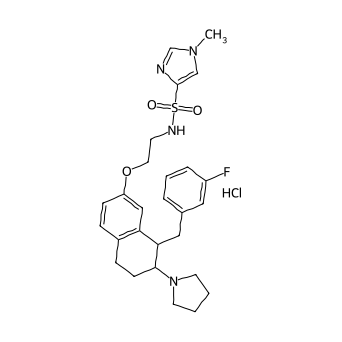 Cl.Cn1cnc(S(=O)(=O)NCCOc2ccc3c(c2)C(Cc2cccc(F)c2)C(N2CCCC2)CC3)c1